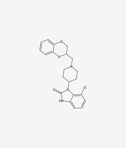 O=c1[nH]c2cccc(Cl)c2n1C1CCN(CC2COc3ccccc3O2)CC1